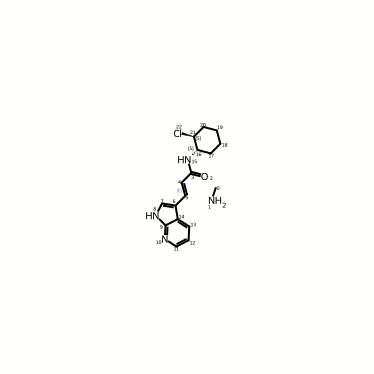 CN.O=C(/C=C/c1c[nH]c2ncccc12)N[C@H]1CCCC[C@@H]1Cl